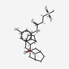 Cc1c(CN2CC3CCC(C2)N3C(=O)C2CCCC2)cc(Cl)cc1NC(=O)CCS(C)(=O)=O